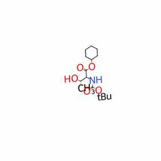 C[C@H](O)[C@H](NC(=O)OC(C)(C)C)C(=O)OC1CCCCC1